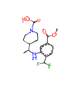 COC(=O)c1ccc(C(F)F)c(NC(C)C2CCN(C(=O)O)CC2)c1